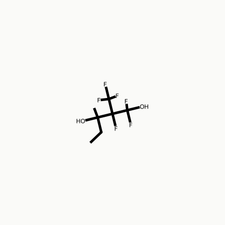 CCC(C)(O)C(F)(C(O)(F)F)C(F)(F)F